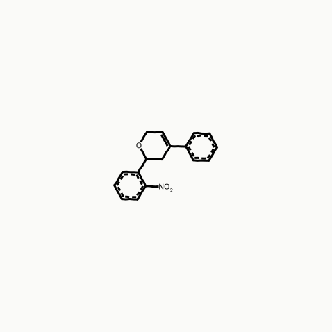 O=[N+]([O-])c1ccccc1C1CC(c2ccccc2)=CCO1